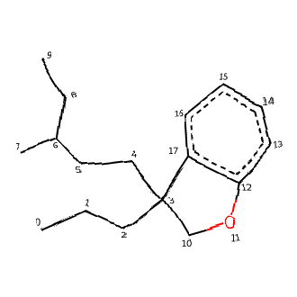 CCCC1(CCC(C)CC)COc2ccccc21